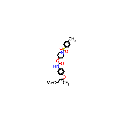 COCC[C@@H](Oc1ccc(NC(=O)OC2CCN(S(=O)(=O)c3ccc(C)cc3)CC2)cc1)C(F)(F)F